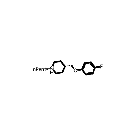 CCCCC[Si@H]1CC[C@H](COc2ccc(F)cc2)CC1